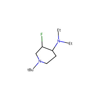 CCN(CC)C1CCN(C(C)(C)C)CC1F